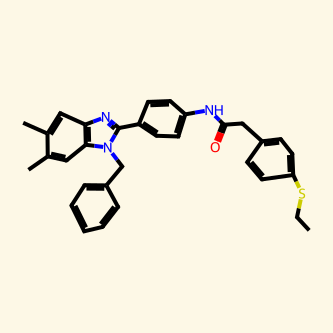 CCSc1ccc(CC(=O)Nc2ccc(-c3nc4cc(C)c(C)cc4n3Cc3ccccc3)cc2)cc1